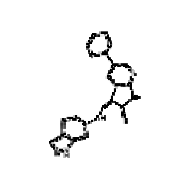 O=C1Nc2ncc(-c3ccccc3)cc2C1=CNc1ccc2cn[nH]c2c1